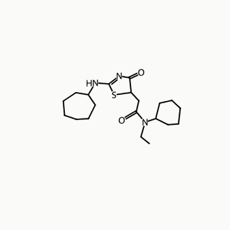 CCN(C(=O)CC1SC(NC2CCCCCC2)=NC1=O)C1CCCCC1